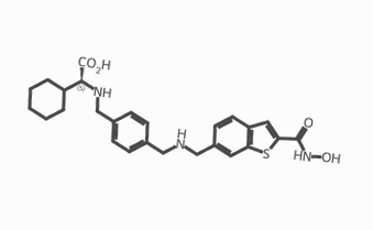 O=C(NO)c1cc2ccc(CNCc3ccc(CN[C@H](C(=O)O)C4CCCCC4)cc3)cc2s1